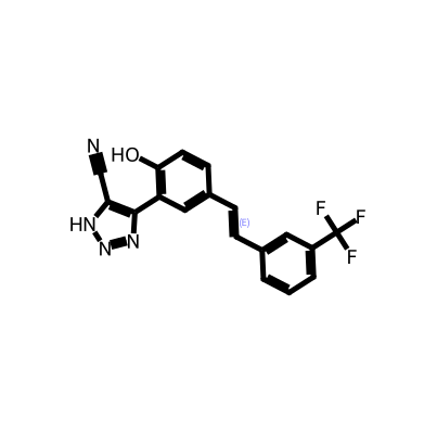 N#Cc1[nH]nnc1-c1cc(/C=C/c2cccc(C(F)(F)F)c2)ccc1O